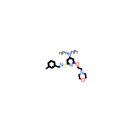 CCCN(CCC)c1cc(OCCN2CCOCC2)nc(S/N=C/c2cccc(C)c2)c1